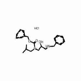 CC(C)CN(CC(O)CNCc1ccccc1)C(=O)OCc1ccccc1.Cl